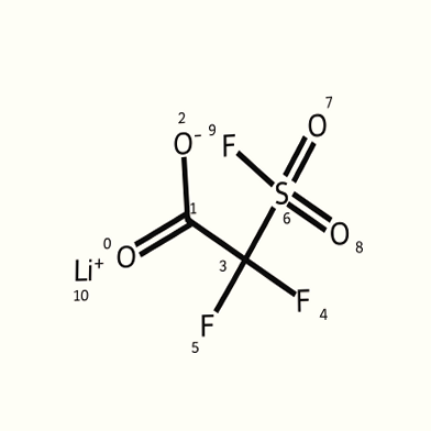 O=C([O-])C(F)(F)S(=O)(=O)F.[Li+]